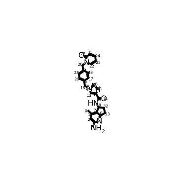 Cc1cc(N)nc2c1C(NC(=O)c1cn(Cc3ccc(Cn4ccccc4=O)cc3)nn1)CC2